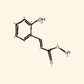 CCCOC(=O)C=Cc1ccccc1O